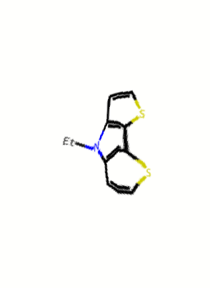 CCn1c2ccsc2c2sccc21